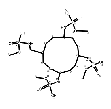 COP(=O)(O)NCC1CCC(NP(=O)(O)OC)CCC(NP(=O)(O)OC)CCC(NP(=O)(O)OC)CC1